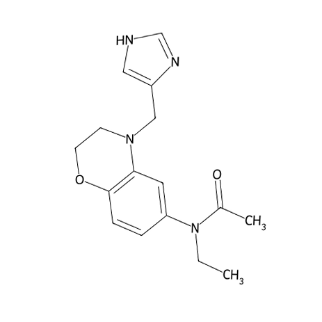 CCN(C(C)=O)c1ccc2c(c1)N(Cc1c[nH]cn1)CCO2